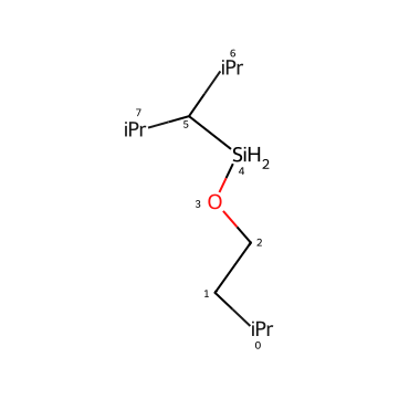 CC(C)CCO[SiH2]C(C(C)C)C(C)C